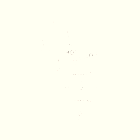 CC1(C)C(CC2CCCCC2)(C(=O)O)CCC23OC21O3